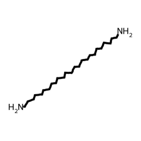 NCCCCCCCCCCCCCCCCCCCCCCCCCN